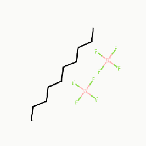 F[B-](F)(F)F.F[B-](F)(F)F.[CH2]CCCCCCCCC